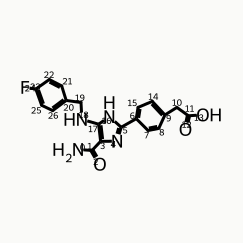 NC(=O)c1nc(-c2ccc(CC(=O)O)cc2)[nH]c1NCc1ccc(F)cc1